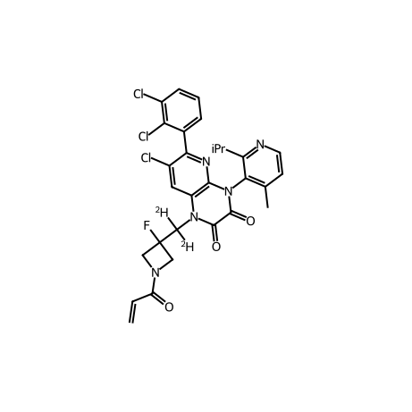 [2H]C([2H])(n1c(=O)c(=O)n(-c2c(C)ccnc2C(C)C)c2nc(-c3cccc(Cl)c3Cl)c(Cl)cc21)C1(F)CN(C(=O)C=C)C1